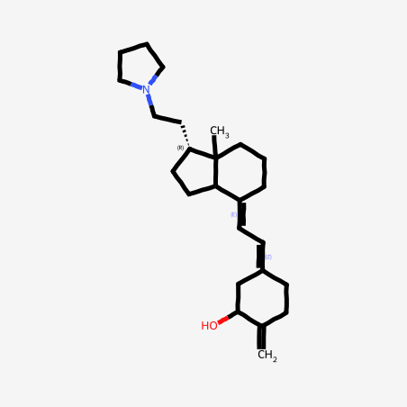 C=C1CC/C(=C/C=C2\CCCC3(C)C2CC[C@@H]3CCN2CCCC2)CC1O